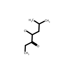 CCC(=O)C(Cl)CC(C)C